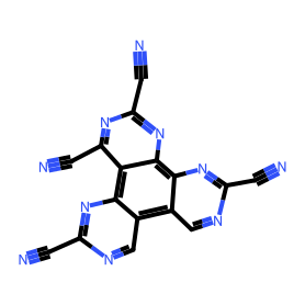 N#Cc1ncc2c3cnc(C#N)nc3c3c(C#N)nc(C#N)nc3c2n1